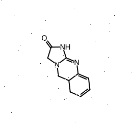 O=C1CN2CC3CC=CC=C3N=C2N1